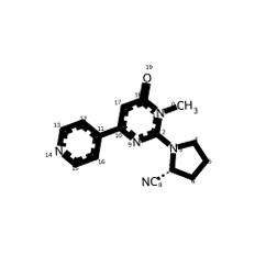 Cn1c(N2CCC[C@@H]2C#N)nc(-c2ccncc2)cc1=O